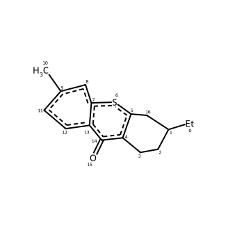 CCC1CCc2c(sc3cc(C)ccc3c2=O)C1